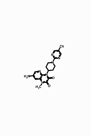 Cn1c(=O)c(=O)n(C2CCN(c3ncc(C#N)cn3)CC2)c2ncc(N)cc21